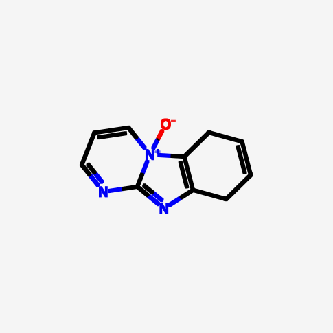 [O-][N+]12C=CC=NC1=NC1=C2CC=CC1